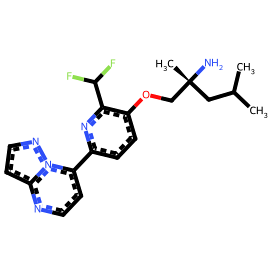 CC(C)C[C@@](C)(N)COc1ccc(-c2ccnc3ccnn23)nc1C(F)F